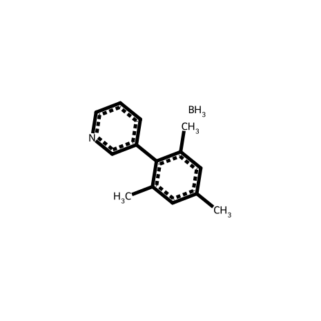 B.Cc1cc(C)c(-c2cccnc2)c(C)c1